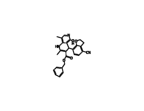 CC1=C(C(=O)OCc2ccccc2)C(c2ccc(C#N)c3c2OCC3)c2c(O)ncc(C)c2N1